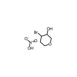 O=[N+]([O-])O.OC1COCCC1Br